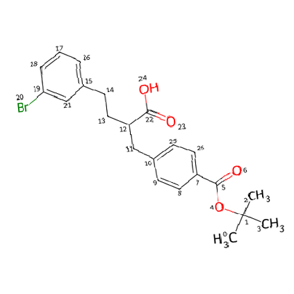 CC(C)(C)OC(=O)c1ccc(CC(CCc2cccc(Br)c2)C(=O)O)cc1